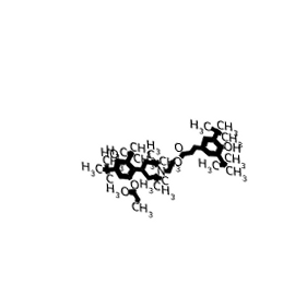 CCC(=O)Oc1cc(C(C)(C)C)c(O)c(C(C)(C)C)c1C1CC(C)(C)N(CCOC(=O)CCc2cc(C(C)(C)C)c(O)c(C(C)(C)C)c2)C(C)(C)C1